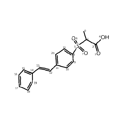 CC(C(=O)O)S(=O)(=O)c1ccc(C=Cc2ccccc2)cc1